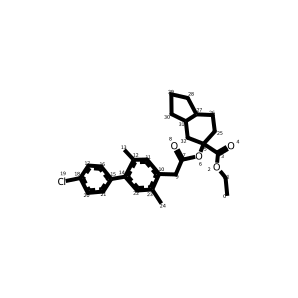 CCOC(=O)C1(OC(=O)Cc2cc(C)c(-c3ccc(Cl)cc3)cc2C)CCC2CCCC2C1